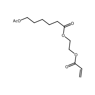 C=CC(=O)OCCOC(=O)CCCCCOC(C)=O